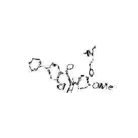 COc1ccc(NC(=O)c2ccc(-c3ccccc3)cc2Cl)cc1OCCN(C)C